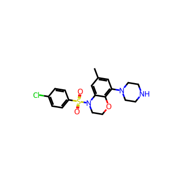 Cc1cc(N2CCNCC2)c2c(c1)N(S(=O)(=O)c1ccc(Cl)cc1)CCO2